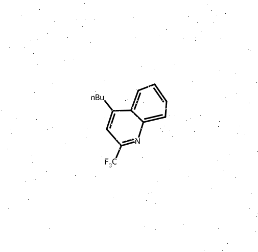 [CH2]CCCc1cc(C(F)(F)F)nc2ccccc12